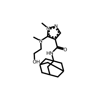 CN(CCO)c1c(C(=O)NC23CC4CC(CC(C4)C2)C3)cnn1C